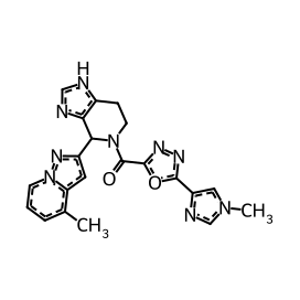 Cc1cccn2nc(C3c4nc[nH]c4CCN3C(=O)c3nnc(-c4cn(C)cn4)o3)cc12